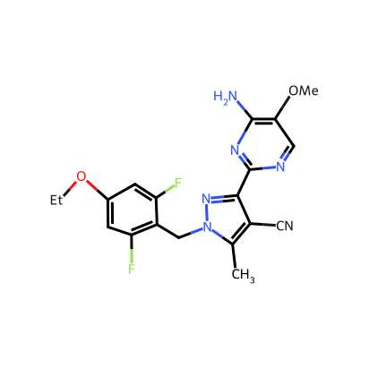 CCOc1cc(F)c(Cn2nc(-c3ncc(OC)c(N)n3)c(C#N)c2C)c(F)c1